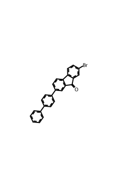 O=C1c2cc(Br)ccc2-c2ccc(-c3ccc(-c4ccccc4)cc3)cc21